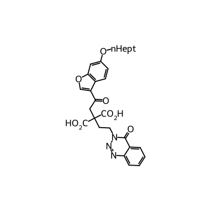 CCCCCCCOc1ccc2c(C(=O)CC(CCn3nnc4ccccc4c3=O)(C(=O)O)C(=O)O)coc2c1